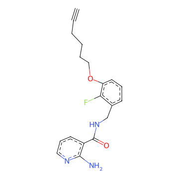 C#CCCCCOc1cccc(CNC(=O)c2cccnc2N)c1F